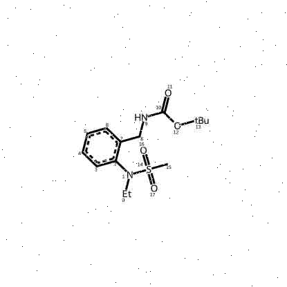 CCN(c1ccccc1CNC(=O)OC(C)(C)C)S(C)(=O)=O